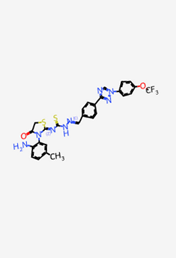 Cc1ccc(N)c(N2C(=O)CS/C2=N\C(=S)N/N=C/c2ccc(-c3ncn(-c4ccc(OC(F)(F)F)cc4)n3)cc2)c1